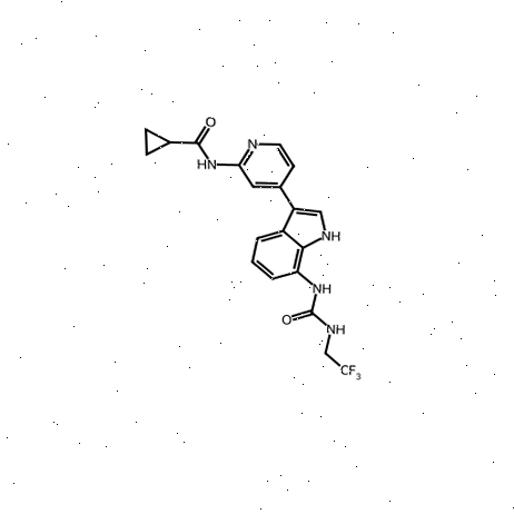 O=C(NCC(F)(F)F)Nc1cccc2c(-c3ccnc(NC(=O)C4CC4)c3)c[nH]c12